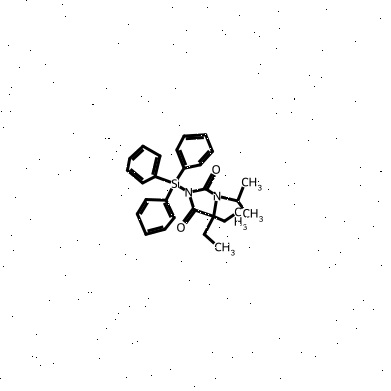 CCC1(CC)C(=O)N([Si](c2ccccc2)(c2ccccc2)c2ccccc2)C(=O)N1C(C)C